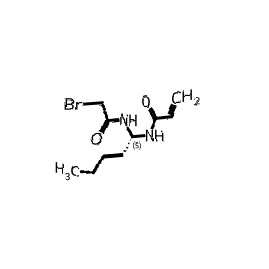 C=CC(=O)N[C@H](CCCC)NC(=O)CBr